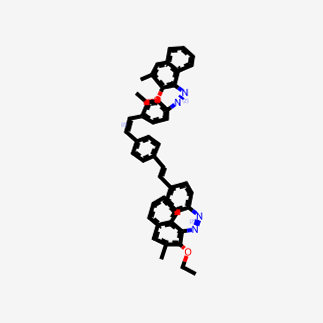 CCOc1c(C)cc2ccccc2c1/N=N\c1ccc(C=Cc2ccc(/C=C\c3ccc(/N=N\c4c(OCC)c(C)cc5ccccc45)cc3)cc2)cc1